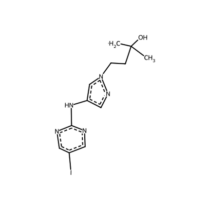 [CH2]C(C)(O)CCn1cc(Nc2ncc(I)cn2)cn1